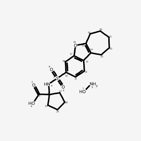 NO.O=C(O)C1(NS(=O)(=O)c2ccc3c4c(oc3c2)CCCCC4)CCCC1